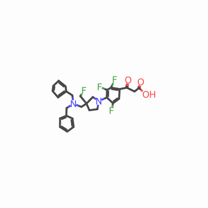 O=C(O)CC(=O)c1cc(F)c(N2CCC(CF)(CN(Cc3ccccc3)Cc3ccccc3)C2)c(F)c1F